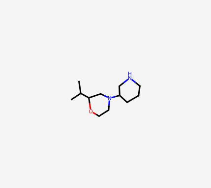 CC(C)C1CN(C2CCCNC2)CCO1